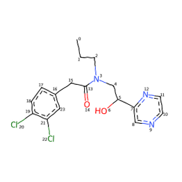 CCCN(CC(O)c1cnccn1)C(=O)Cc1ccc(Cl)c(Cl)c1